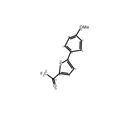 COc1ccc(-c2ccc(C(=O)C(F)(F)F)s2)cc1